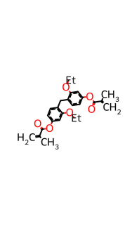 C=C(C)C(=O)Oc1ccc(Cc2ccc(OC(=O)C(=C)C)cc2OCC)c(OCC)c1